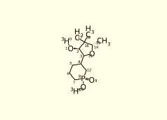 [3H]O[C@@H]1C(C2CCCP(=O)(O[3H])C2)O[C@@H](C)C1(C)C